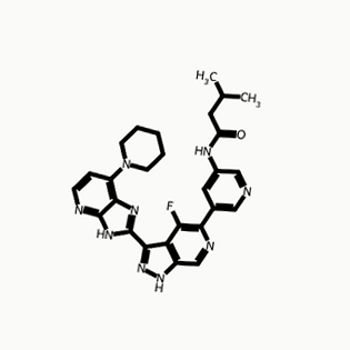 CC(C)CC(=O)Nc1cncc(-c2ncc3[nH]nc(-c4nc5c(N6CCCCC6)ccnc5[nH]4)c3c2F)c1